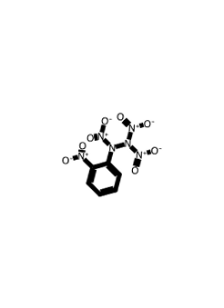 O=[N+]([O-])c1ccccc1N(N([N+](=O)[O-])[N+](=O)[O-])[N+](=O)[O-]